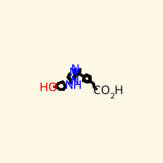 O=C(O)CCc1ccc(-c2cnn3ccc(NC4CCC(O)CC4)nc23)cc1